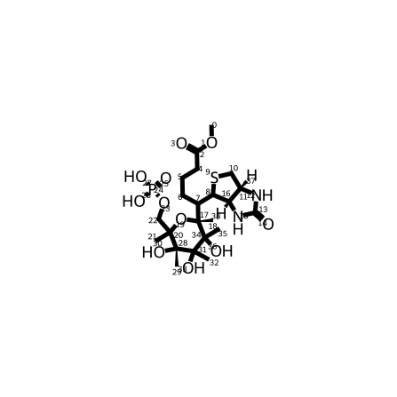 COC(=O)CCCC(C1SC[C@@H]2NC(=O)N[C@H]12)[C@@]1(C)OC(C)(COP(=O)(O)O)[C@@](C)(O)C(C)(O)C1(C)O